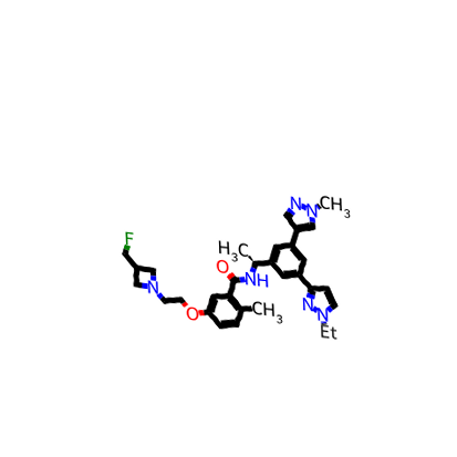 CCn1ccc(-c2cc(-c3cnn(C)c3)cc([C@@H](C)NC(=O)c3cc(OCCN4CC(CF)C4)ccc3C)c2)n1